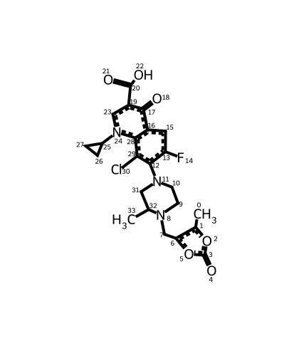 Cc1oc(=O)oc1CN1CCN(c2c(F)cc3c(=O)c(C(=O)O)cn(C4CC4)c3c2Cl)CC1C